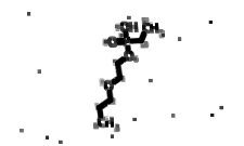 CCCOCCOP(=O)(O)CC